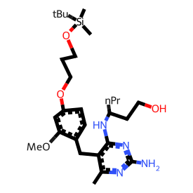 CCCC(CCO)Nc1nc(N)nc(C)c1Cc1ccc(OCCCO[Si](C)(C)C(C)(C)C)cc1OC